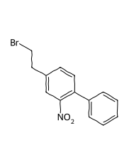 O=[N+]([O-])c1cc(CCBr)ccc1-c1ccccc1